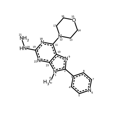 Cn1c(-c2ccncc2)nc2c(N3CCOCC3)nc(NN)nc21